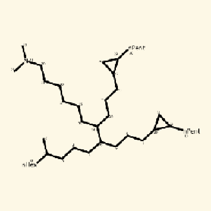 CCCCCCC(C)CCCC(CCCC1CC1CCCCC)C(CCCCCCN(C)C)CCCC1CC1CCCCC